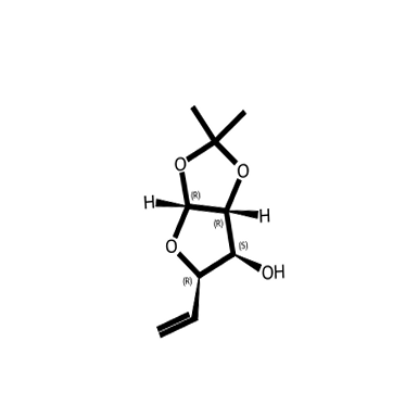 C=C[C@H]1O[C@@H]2OC(C)(C)O[C@@H]2[C@H]1O